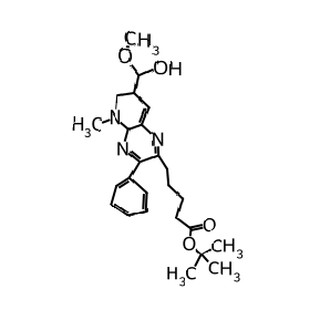 COC(O)C1C=C2N=C(CCCCC(=O)OC(C)(C)C)C(c3ccccc3)=NC2N(C)C1